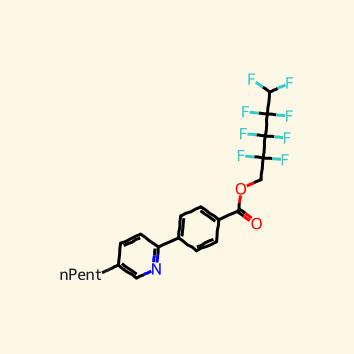 CCCCCc1ccc(-c2ccc(C(=O)OCC(F)(F)C(F)(F)C(F)(F)C(F)F)cc2)nc1